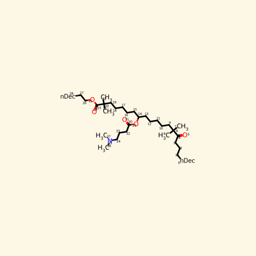 CCCCCCCCCCCCCC(=O)C(C)(C)CCCCCC(CCCCCC(C)(C)C(=O)OCCCCCCCCCCCC)OC(=O)CCCN(C)C